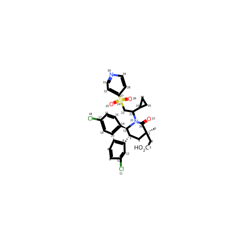 C[C@]1(CC(=O)O)C[C@H](c2cccc(Cl)c2)[C@@H](c2ccc(Cl)cc2)N(C(CS(=O)(=O)c2ccncc2)C2CC2)C1=O